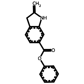 C=C1Cc2ccc(C(=O)Oc3ccccc3)cc2N1